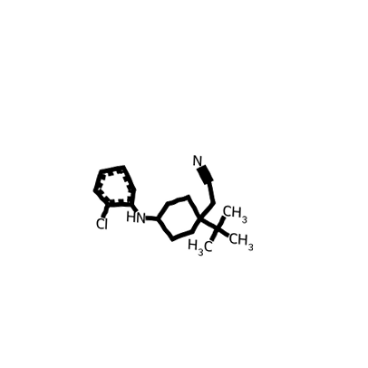 CC(C)(C)C1(CC#N)CCC(Nc2ccccc2Cl)CC1